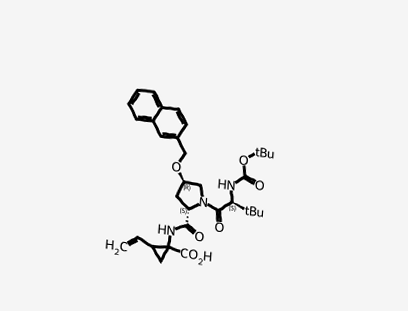 C=CC1CC1(NC(=O)[C@@H]1C[C@@H](OCc2ccc3ccccc3c2)CN1C(=O)[C@@H](NC(=O)OC(C)(C)C)C(C)(C)C)C(=O)O